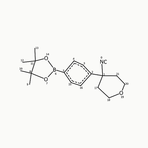 [C-]#[N+]C1(c2ccc(B3OC(C)(C)C(C)(C)O3)cc2)CCOCC1